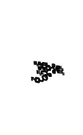 Cc1c(C(=O)N2CCC(Cc3ccc(F)cc3)CC2)c2cc(C(=O)C(=O)N(C)C)ccc2n1C(=O)N(C)C